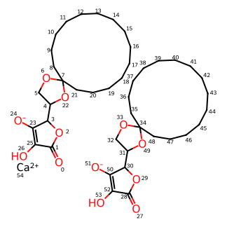 O=C1OC(C2COC3(CCCCCCCCCCCCCC3)O2)C([O-])=C1O.O=C1OC(C2COC3(CCCCCCCCCCCCCC3)O2)C([O-])=C1O.[Ca+2]